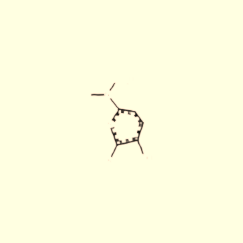 CN(C(=O)O)c1ccc(O)c([N+](=O)[O-])n1